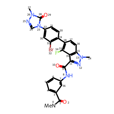 CNC(=O)c1cccc(NC(=O)c2nn(C)c3ccc(-c4ccc(-n5cnn(C)c5=O)cc4Br)c(F)c23)c1